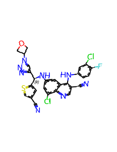 N#Cc1csc([C@H](Nc2cc(Cl)c3ncc(C#N)c(Nc4ccc(F)c(Cl)c4)c3c2)c2cn(C3COC3)nn2)c1